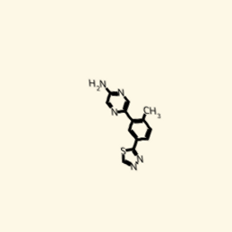 Cc1ccc(-c2nncs2)cc1-c1cnc(N)cn1